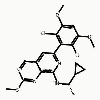 COc1cc(OC)c(Cl)c(-c2cc3cnc(SC)nc3c(N[C@@H](C)C3CC3)n2)c1Cl